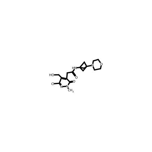 Cn1nc(Cl)c(CO)c(CC(=O)NC23CC(N4CCOCC4)(C2)C3)c1=O